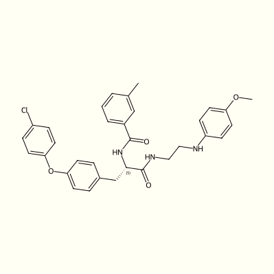 COc1ccc(NCCNC(=O)[C@H](Cc2ccc(Oc3ccc(Cl)cc3)cc2)NC(=O)c2cccc(C)c2)cc1